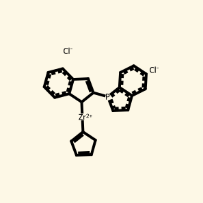 C1=CC[C]([Zr+2][CH]2C(p3ccc4ccccc43)=Cc3ccccc32)=C1.[Cl-].[Cl-]